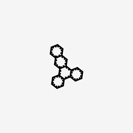 c1ccc2cc3c4ccccc4c4ccccc4c3cc2c1